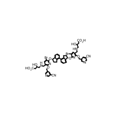 N#Cc1cncc(COc2nc(O[C@H]3CCc4c(-c5cccc6c5CC[C@@H]6Oc5nc(OCc6cncc(C#N)c6)c(CNCC(O)CC(=O)O)cc5Br)cccc43)c(Br)cc2CNCC(O)CC(=O)O)c1